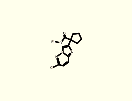 CC(C)OC(=O)C1(c2cn3nc(Cl)ccc3n2)CCCC1